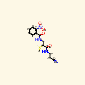 CSC(CNC(=O)c1ccccc1[N+](=O)[O-])C(=O)NCCC#N